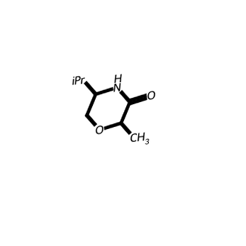 CC1OCC(C(C)C)NC1=O